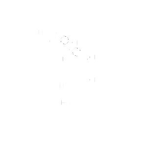 COC(=O)c1cccc(Oc2c(C)cc3c(c2C)CCC(C)(CCCC(C)CCCC(C)CCCC(C)C)O3)c1